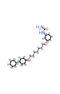 NC(=S)Nc1cccc(OCCCCCCCOc2ccc(-c3ccccc3)cc2)c1